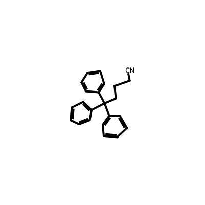 N#CCCCC(c1ccccc1)(c1ccccc1)c1ccccc1